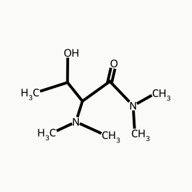 CC(O)C(C(=O)N(C)C)N(C)C